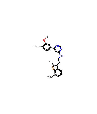 CCOc1cc(-c2cc(NCCc3c(C#N)sc4c(OC)cccc34)ncn2)ccc1C(=O)O